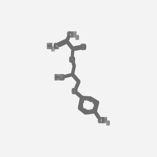 C=C(C)C(=O)OCC(O)COc1ccc(C)cc1